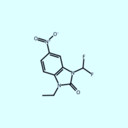 CCn1c(=O)n(C(F)F)c2cc([N+](=O)[O-])ccc21